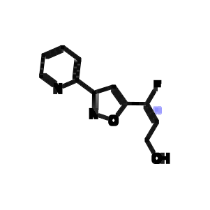 OC/C=C(/F)c1cc(-c2ccccn2)no1